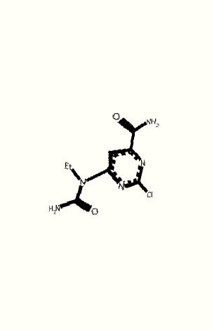 CCN(C(N)=O)c1cc(C(N)=O)nc(Cl)n1